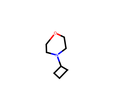 [CH]1CCC1N1CCOCC1